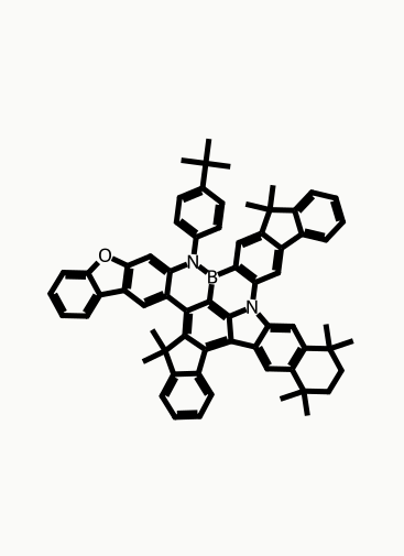 CC(C)(C)c1ccc(N2B3c4cc5c(cc4-n4c6cc7c(cc6c6c8c(c(c3c64)-c3cc4c(cc32)oc2ccccc24)C(C)(C)c2ccccc2-8)C(C)(C)CCC7(C)C)-c2ccccc2C5(C)C)cc1